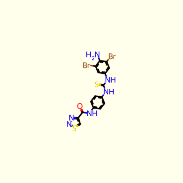 Nc1c(Br)cc(NC(=S)Nc2ccc(NC(=O)c3csnn3)cc2)cc1Br